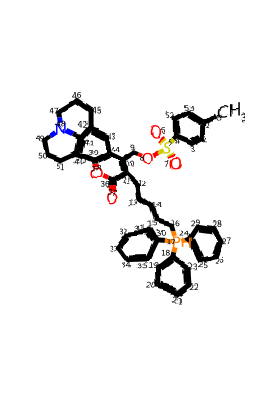 Cc1ccc(S(=O)(=O)OCc2c(CCCCC[PH](c3ccccc3)(c3ccccc3)c3ccccc3)c(=O)oc3c4c5c(cc23)CCCN5CCC4)cc1